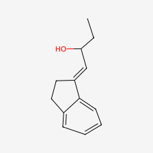 CCC(O)/C=C1\CCc2ccccc21